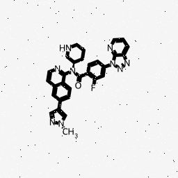 Cn1cc(-c2ccc3c(N(C(=O)c4ccc(-n5nnc6cccnc65)cc4F)[C@@H]4CCCNC4)nccc3c2)cn1